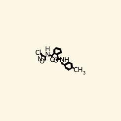 Cc1ccc(CNC(=O)c2ccccc2C(=O)NC2CON=C2Cl)cc1